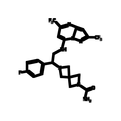 NC(=O)N1CC2(C1)CN(C(CNc1cc(C(F)(F)F)nc3cc(C(F)(F)F)nn13)c1ccc(F)cc1)C2